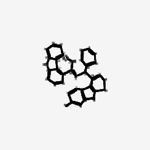 Cc1ccc2c3c(oc2c1)CCC=C3C(/N=C(\NN)c1cccc2oc3ccccc3c12)c1ccccc1